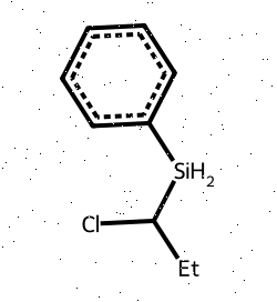 CCC(Cl)[SiH2]c1ccccc1